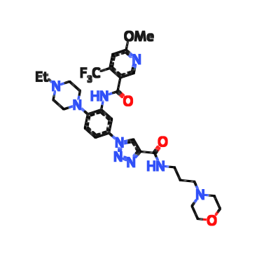 CCN1CCN(c2ccc(-n3cc(C(=O)NCCCN4CCOCC4)nn3)cc2NC(=O)c2cnc(OC)cc2C(F)(F)F)CC1